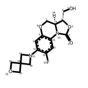 O=C1O[C@@H](CO)[C@@H]2COc3cc(N4CC5(COC5)C4)c(F)cc3N12